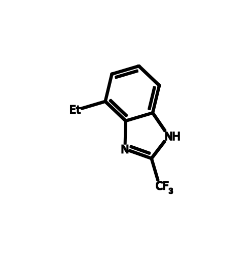 CCc1cccc2[nH]c(C(F)(F)F)nc12